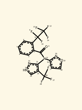 O=C(c1ccccc1C(F)(F)C(F)(F)F)N(c1ccon1)c1n[nH]cc1C(F)(F)F